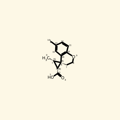 C[C@H]1[C@@H](C(=O)O)[C@@]12CCOc1ccc(I)cc12